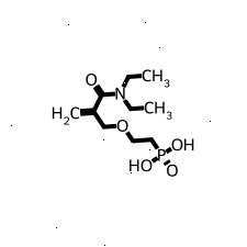 C=C(COCCP(=O)(O)O)C(=O)N(CC)CC